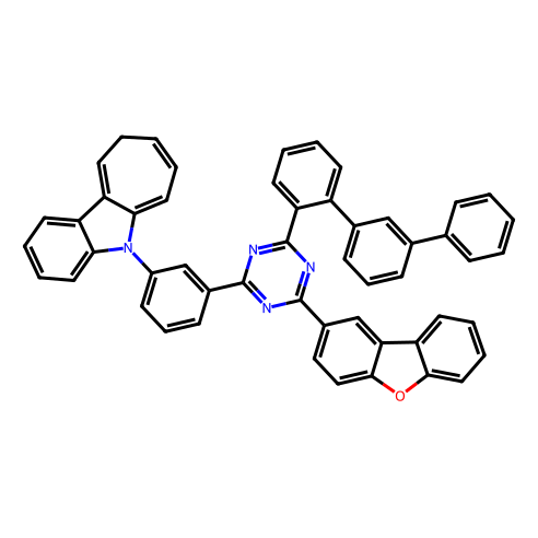 C1=CCC=c2c(n(-c3cccc(-c4nc(-c5ccc6oc7ccccc7c6c5)nc(-c5ccccc5-c5cccc(-c6ccccc6)c5)n4)c3)c3ccccc23)=C1